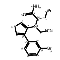 CC(C)C[C@@H](C(N)=O)N(CC#N)c1cscc1-c1cccc(Br)c1